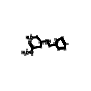 CC[C@H](CC(=O)OC)NCc1ccccc1